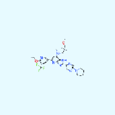 CCOc1ncc(-c2cc(N(C)CC(C)(C)COC)c3[nH]c(-c4cnc(N5CCCCC5)cn4)nc3n2)cc1C(F)(F)F